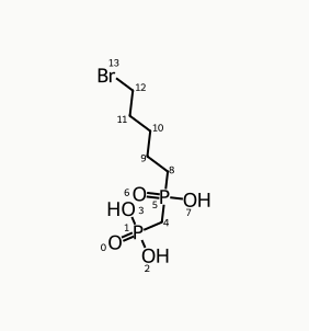 O=P(O)(O)CP(=O)(O)CCCCCBr